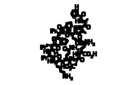 CC(C)C[C@H](NC(=O)[C@@H]1CCCN1C(=O)[C@@H](NC(=O)[C@@H]1CCCN1C(=O)[C@H](CCC(=O)O)NC(=O)[C@H](C)NC(=O)[C@H](C)NC(=O)[C@@H]1CCCN1)C(C)C)C(=O)N[C@H](C(=O)N[C@@H](CCCCN)C(=O)N[C@@H](CCC(N)=O)C(=O)N[C@@H](CC(=O)O)C(=O)N[C@@H](CCC(N)=O)C(=O)O)C(C)C